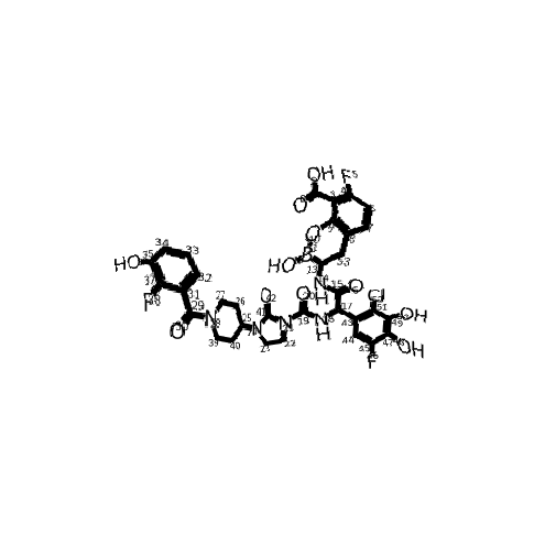 O=C(O)c1c(F)ccc2c1OB(O)C(NC(=O)C(NC(=O)N1CCN(C3CCN(C(=O)c4cccc(O)c4F)CC3)C1=O)c1cc(F)c(O)c(O)c1Cl)C2